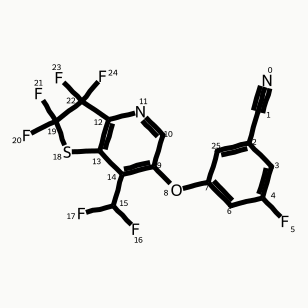 N#Cc1cc(F)cc(Oc2cnc3c(c2C(F)F)SC(F)(F)C3(F)F)c1